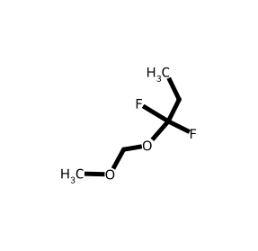 CCC(F)(F)OCOC